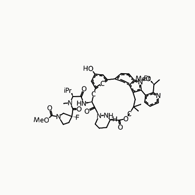 CCn1c(-c2cccnc2[C@H](C)OC)c2c3cc(ccc31)-c1cc(O)cc(c1)C[C@H](NC(=O)[C@H](C(C)C)N(C)C(=O)[C@@]1(F)CCN(C(=O)OC)C1)C(=O)N1CCC[C@H](N1)C(=O)OCC(C)(C)C2